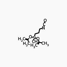 C=C(C)O[Si](C)(CCCN=C=O)OC(=C)C